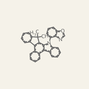 CC1(C)c2ccccc2-c2c1c1c(c3ccccc23)c2ccccc2n1-c1cccc2ocnc12